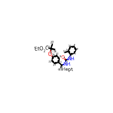 CCCCCCCC(NC(=O)Nc1ccccc1C)c1ccc(OC(C)(C)C(=O)OCC)cc1